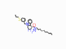 CCCCCCCCCCN(N)C(=O)C1CCCc2c1c1ccccc1n2Cc1cccc(SCCC)c1